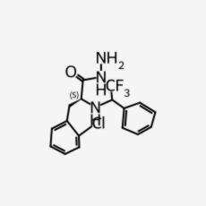 NNC(=O)[C@H](Cc1ccccc1Cl)NC(c1ccccc1)C(F)(F)F